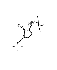 CC(C)(C)CN1CCC(NC(C)(C)C)C1=O